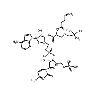 C=CCCC(=O)NC(COCC(C)(C)O)C(=O)O[C@H]1[C@@H](O)[C@H](n2cnc3c(N)ncnc32)O[C@@H]1COP(=O)(O)O[C@H]1[C@@H](O)[C@H](n2ccc(N)nc2=O)O[C@@H]1COP(=O)(O)O